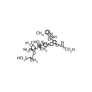 C.Cc1c(-c2ccc(N3CCc4c(OCCNCCC(=O)O)ccc(C(=O)Nc5nc6ccccc6s5)c4C3)nc2C(=O)O)cnn1CC12CC(C)CC(C)(CC(OCCN(C)CCS(=O)(=O)O)C1)C2